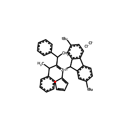 CC([C](C(C)c1ccccc1)=[Zr+2]([C]1=CC=CC1)[CH]1c2cc(C(C)(C)C)ccc2-c2ccc(C(C)(C)C)cc21)c1ccccc1.[Cl-].[Cl-]